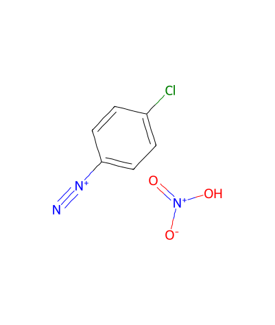 N#[N+]c1ccc(Cl)cc1.O=[N+]([O-])O